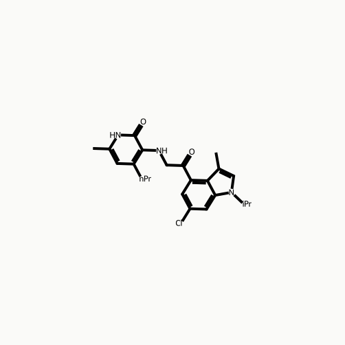 CCCc1cc(C)[nH]c(=O)c1NCC(=O)c1cc(Cl)cc2c1c(C)cn2C(C)C